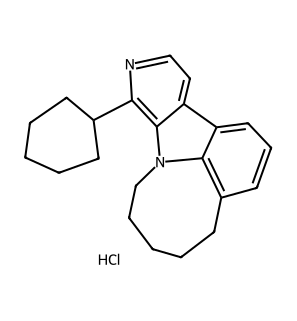 Cl.c1cc2c3c(c1)c1ccnc(C4CCCCC4)c1n3CCCCC2